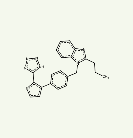 CCCc1nc2ccccc2n1Cc1ccc(-c2ccsc2-c2nnn[nH]2)cc1